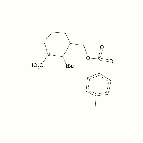 Cc1ccc(S(=O)(=O)OCC2CCCN(C(=O)O)C2C(C)(C)C)cc1